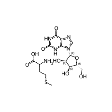 CSCCC(N)C(=O)O.O=c1[nH]c(=O)c2ncn([C@@H]3O[C@H](CO)[C@@H](O)[C@H]3O)c2[nH]1